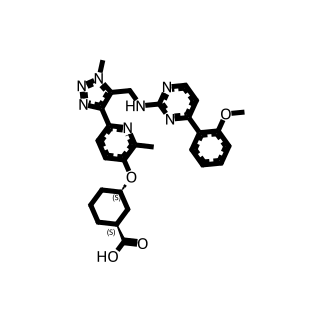 COc1ccccc1-c1ccnc(NCc2c(-c3ccc(O[C@H]4CCC[C@H](C(=O)O)C4)c(C)n3)nnn2C)n1